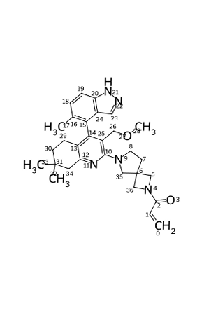 C=CC(=O)N1CC2(CCN(c3nc4c(c(-c5c(C)ccc6[nH]ncc56)c3COC)CCC(C)(C)C4)C2)C1